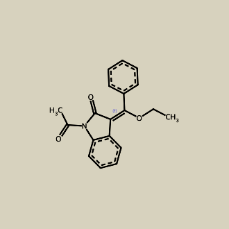 CCO/C(=C1/C(=O)N(C(C)=O)c2ccccc21)c1ccccc1